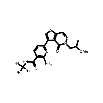 [2H]C([2H])([2H])NC(=O)c1ccc(-c2csc3cnn(CC(C)OC)c(=O)c23)nc1N